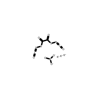 O=C=NSC(=O)C(=O)SN=C=O.[K+].[K+].[K+].[O-]B([O-])[O-]